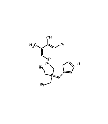 CC(=CC(C)C)C(C)=CC(C)C.CC(C)CP(CC(C)C)(CC(C)C)=NC1=CC=CC1.[Ti]